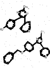 Cc1nc(-c2ccc(O)cc2)c(-c2ccncc2)o1.Cc1nc(-c2ccc(OCc3ccccc3)cc2)c(-c2ccncc2)o1